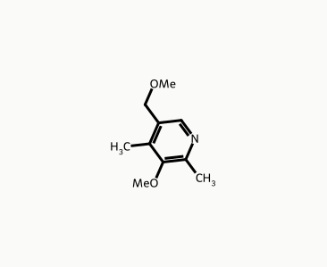 COCc1cnc(C)c(OC)c1C